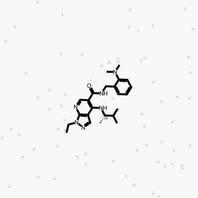 CCn1ncc2c(N[C@@H](C)C(C)C)c(C(=O)NCc3ccccc3N(C)C)cnc21